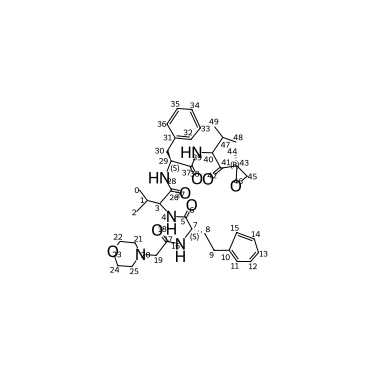 CC(C)C(NC(=O)[C@H](CCc1ccccc1)NC(=O)CN1CCOCC1)C(=O)N[C@@H](Cc1ccccc1)C(=O)NC(C(=O)[C@@]1(C)CO1)C(C)C